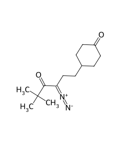 CC(C)(C)C(=O)C(CCC1CCC(=O)CC1)=[N+]=[N-]